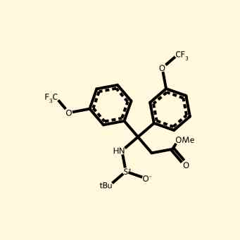 COC(=O)CC(N[S+]([O-])C(C)(C)C)(c1cccc(OC(F)(F)F)c1)c1cccc(OC(F)(F)F)c1